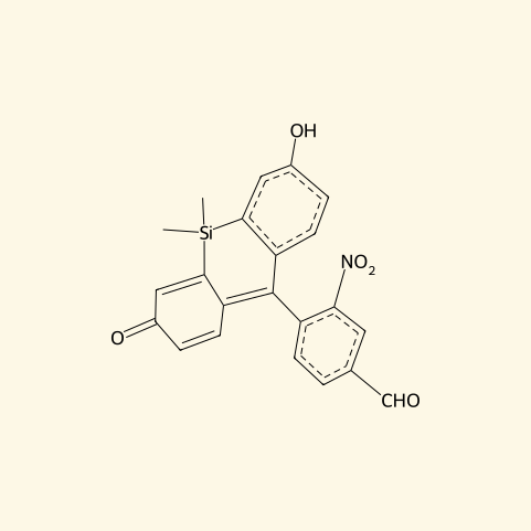 C[Si]1(C)C2=CC(=O)C=CC2=C(c2ccc(C=O)cc2[N+](=O)[O-])c2ccc(O)cc21